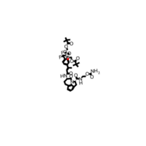 C/C(=C\C(=O)N[C@H]1CCc2cccc3c2N(C1=O)[C@H](C(=O)NCCOC(N)=O)C3)c1ccc(C(F)(F)P(=O)(OCOC(=O)C(C)(C)C)OCOC(=O)C(C)(C)C)cc1